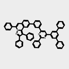 c1ccc(-c2cc(-c3ccccc3)cc(-c3cc(-c4cccc(-c5ccc6cc(-c7ccccc7)n7nc(-c8ccccc8)c(-c8ccccc8)c7c6c5)c4)nc(-c4ccccc4)n3)c2)cc1